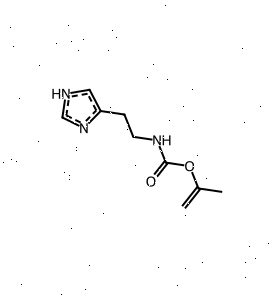 C=C(C)OC(=O)NCCc1c[nH]cn1